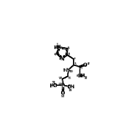 NC(=O)C(Cc1c[nH]cn1)NCCP(=O)(O)O